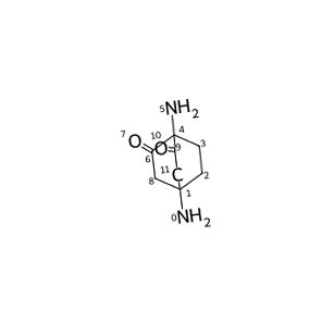 NC12CCC(N)(C(=O)C1)C(=O)C2